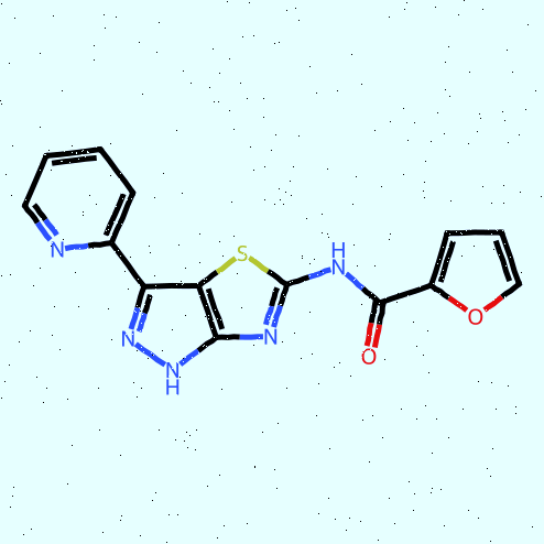 O=C(Nc1nc2[nH]nc(-c3ccccn3)c2s1)c1ccco1